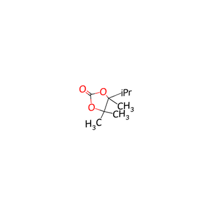 CC(C)C1(C)OC(=O)OC1(C)C